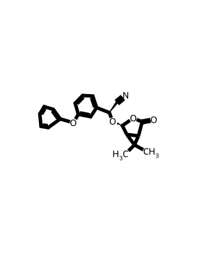 CC1(C)C2C(=O)O[C@@H](O[C@H](C#N)c3cccc(Oc4ccccc4)c3)C21